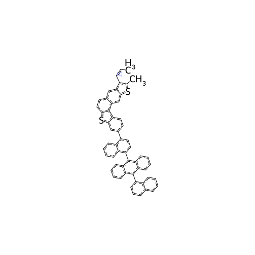 C/C=C\c1c(C)sc2cc3c(ccc4sc5cc(-c6ccc(-c7c8ccccc8c(-c8cccc9ccccc89)c8ccccc78)c7ccccc67)ccc5c43)cc12